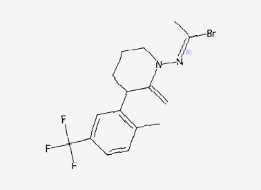 C=C1C(c2cc(C(F)(F)F)ccc2C)CCCN1/N=C(\C)Br